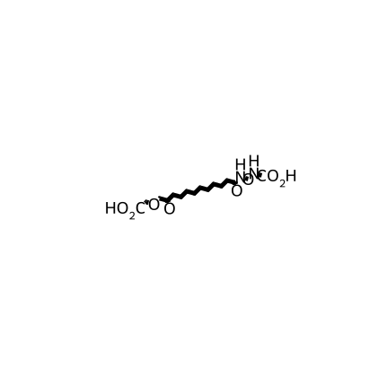 O=C(O)COCC(=O)CCCCCCCCCC(=O)NONC(=O)O